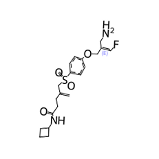 C=C(CCC(=O)NC1CCC1)CS(=O)(=O)c1ccc(OC/C(=C/F)CN)cc1